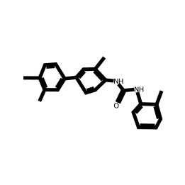 Cc1ccc(-c2ccc(NC(=O)Nc3ccccc3C)c(C)c2)cc1C